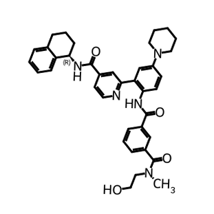 CN(CCO)C(=O)c1cccc(C(=O)Nc2ccc(N3CCCCC3)cc2-c2cc(C(=O)N[C@@H]3CCCc4ccccc43)ccn2)c1